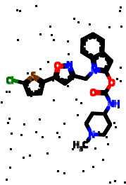 CN1CCC(NC(=O)Oc2cc3ccccc3n2Cc2cc(-c3ccc(Cl)s3)on2)CC1